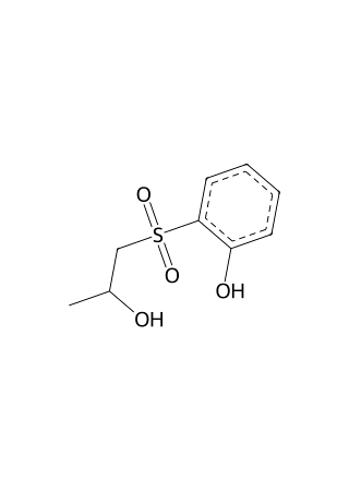 CC(O)CS(=O)(=O)c1ccccc1O